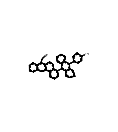 CC(C)Cc1c2ccccc2cc2c1ccc1c(-c3c4ccccc4c(-c4ccc(C#N)cc4)c4ccccc34)cccc12